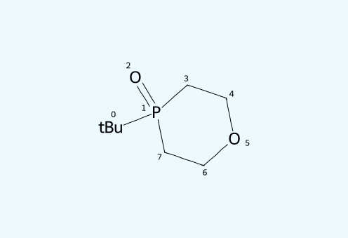 CC(C)(C)P1(=O)CCOCC1